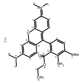 CNc1ccc(-c2c3ccc(=[N+](C)C)cc-3oc3cc(N(C)C)ccc23)c(C(=O)OCOC(C)=O)c1N.[I-]